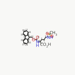 CS(=O)(=O)NCCCC(NC(=O)OCC1c2ccccc2-c2ccccc21)C(=O)O